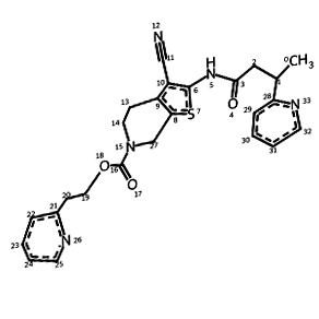 CC(CC(=O)Nc1sc2c(c1C#N)CCN(C(=O)OCCc1ccccn1)C2)c1ccccn1